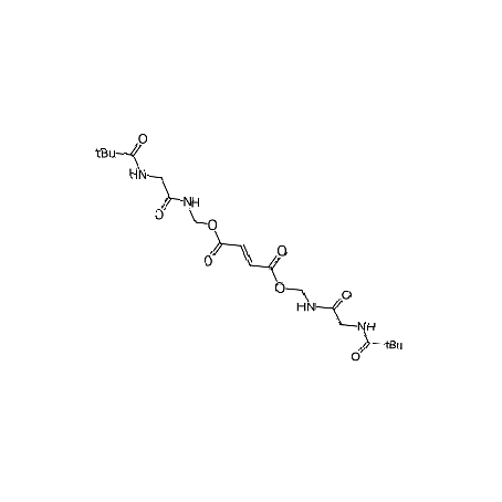 CC(C)(C)C(=O)NCC(=O)NCOC(=O)/C=C/C(=O)OCNC(=O)CNC(=O)C(C)(C)C